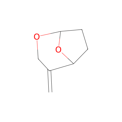 C=C1COC2CCC1O2